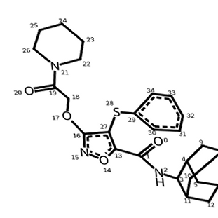 O=C(NC1C2CC3CC(C2)CC1C3)c1onc(OCC(=O)N2CCCCC2)c1Sc1ccccc1